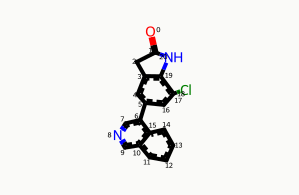 O=C1Cc2cc(-c3cncc4ccccc34)cc(Cl)c2N1